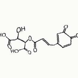 O=C(/C=C/C1=CC(=O)C(=O)C=C1)OC(C(=O)O)C(O)C(=O)O